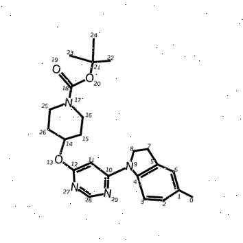 Cc1ccc2c(c1)CCN2c1cc(OC2CCN(C(=O)OC(C)(C)C)CC2)ncn1